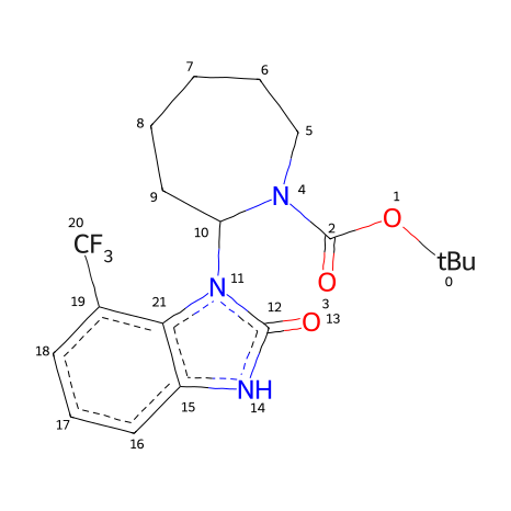 CC(C)(C)OC(=O)N1CCCCCC1n1c(=O)[nH]c2cccc(C(F)(F)F)c21